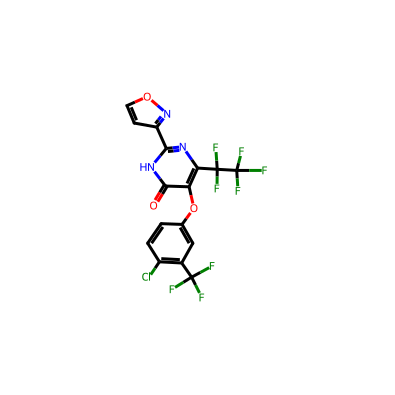 O=c1[nH]c(-c2ccon2)nc(C(F)(F)C(F)(F)F)c1Oc1ccc(Cl)c(C(F)(F)F)c1